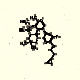 Cc1ncc(-c2cnc(OCCC3CC3)c(F)c2)c(N2CCC(C)(C)CC2)c1[C@H](OC(C)(C)C)C(=O)O